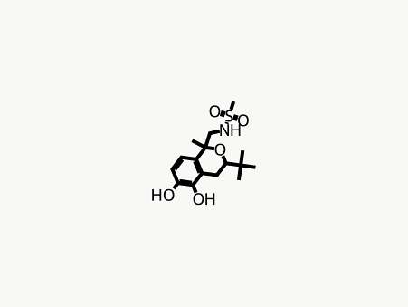 CC1(CNS(C)(=O)=O)OC(C(C)(C)C)Cc2c1ccc(O)c2O